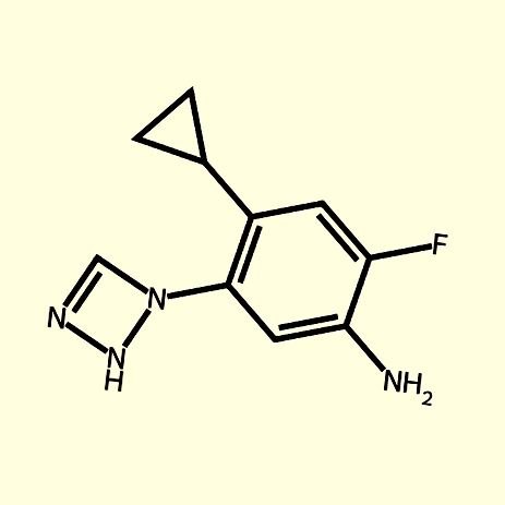 Nc1cc(-n2cn[nH]2)c(C2CC2)cc1F